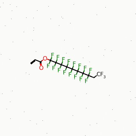 C=CC(=O)OC(F)(F)C(F)(F)C(F)(F)C(F)(F)C(F)(F)C(F)(F)C(F)(F)C(F)(F)CC(F)(F)F